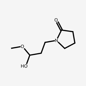 COC(O)CCN1CCCC1=O